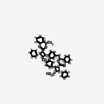 C[C@H](OC(=O)[C@@H]1[C@@H](c2ccccc2)[C@H](C(=O)O)[C@@H]1c1ccc(C[C@H](OC(=O)[C@H]2[C@H](c3ccccc3)[C@@H](C(=O)O)[C@H]2c2ccccc2)c2ccccc2)cc1)c1ccccc1